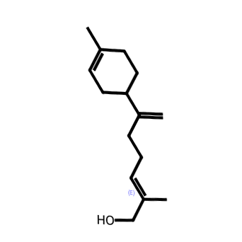 C=C(CC/C=C(\C)CO)C1CC=C(C)CC1